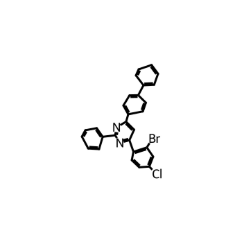 Clc1ccc(-c2cc(-c3ccc(-c4ccccc4)cc3)nc(-c3ccccc3)n2)c(Br)c1